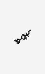 CCCC(C)(C)c1ncc(-c2cnn(C)c2)cn1